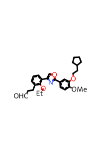 CCOc1c(CCC=O)cccc1-c1coc(-c2ccc(OC)c(OCCC3CCCC3)c2)n1